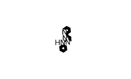 c1ccc(Nc2nccc(-c3ccccn3)n2)cc1